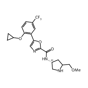 COCC1C[C@@H](NC(=O)c2ncc(-c3cc(C(F)(F)F)ccc3OC3CC3)o2)CN1